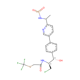 CC(N[SH](=O)=O)c1ccc(-c2ccc([C@H](O)[C@@H](CF)NC(=O)CSC(F)(F)F)cc2)cn1